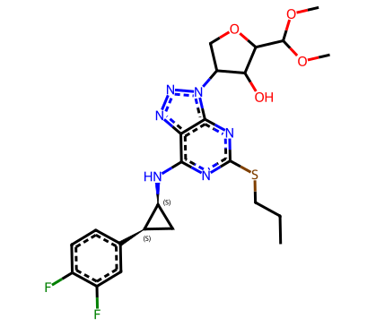 CCCSc1nc(N[C@H]2C[C@H]2c2ccc(F)c(F)c2)c2nnn(C3COC(C(OC)OC)C3O)c2n1